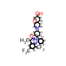 CC(C(=O)N[C@]1(c2ccccc2)CC[C@@H](N2CCC3(CCC(O)CO3)CC2)CC1)c1cc(C(F)(F)F)cc(C(F)(F)F)c1